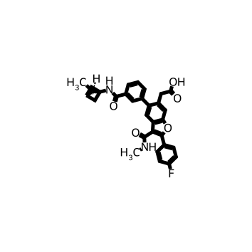 CNC(=O)c1c(-c2ccc(F)cc2)oc2cc(CC(=O)O)c(-c3cccc(C(=O)NC45CC(C4)[C@H]5C)c3)cc12